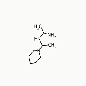 CC(N)NC(C)N1CCCCC1